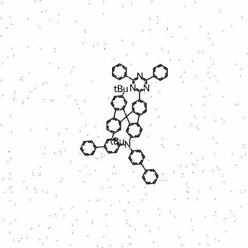 CC(C)(C)c1ccc2c(c1)C1(c3cc(-c4nc(-c5ccccc5)nc(-c5ccccc5)n4)ccc3-c3ccc(N(c4ccc(-c5ccccc5)cc4)c4ccc(-c5ccccc5)cc4)cc31)c1cc(C(C)(C)C)ccc1-2